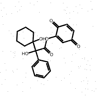 O=C1C=CC(=O)C(OC(=O)C(O)(c2ccccc2)C2(O)CCCCC2)=C1